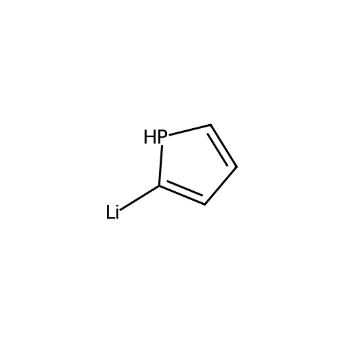 [Li][c]1ccc[pH]1